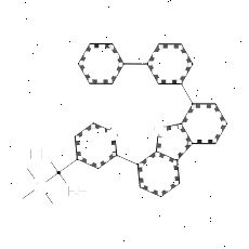 BC(B)(c1ccnc(-c2cccc3c2oc2c(-c4cccc(-c5ccccc5)c4)cccc23)c1)S(C)(C)C